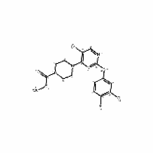 CC(C)(C)OC(=O)N1CCN(c2nc(Nc3ccc(F)c(Cl)c3)ncc2Br)CC1